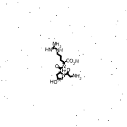 N=C(N)NCCC[C@H](NC(=O)[C@@H]1C[C@@H](O)CN1C(=O)CN)C(=O)O